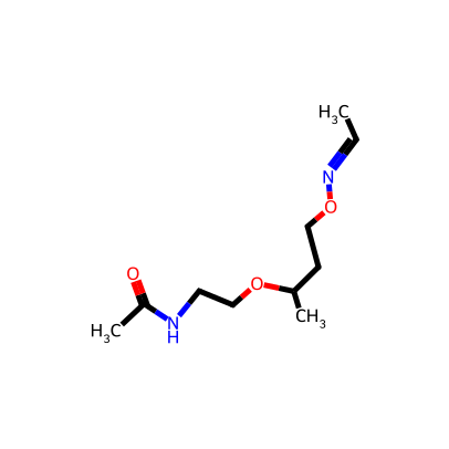 C/C=N/OCCC(C)OCCNC(C)=O